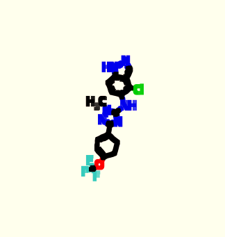 Cn1nc(C2=CC=C(OC(F)(F)F)CC2)nc1Nc1ccc2[nH]ncc2c1Cl